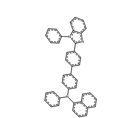 c1ccc(N(c2ccc(-c3ccc(-c4nc5ccccc5n4-c4ccccc4)cc3)cc2)c2cccc3ccccc23)cc1